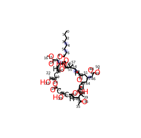 CCC/C=C/C=C/C(=O)O[C@H]1/C(=C/C(=O)OC)C[C@H]2C[C@H]([C@@H](C)O)OC(=O)C[C@H](O)C[C@@H]3C[C@H](C(C)=O)C(C)(C)[C@](O)(C[C@@H]4C/C(=C/C(=O)OC)C[C@H](/C=C/C(C)(C)[C@]1(O)O2)O4)O3